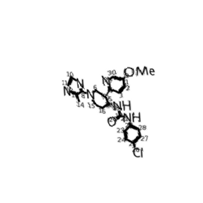 COc1ccc([C@@H]2CN(c3nccnc3C)CC[C@H]2NC(=O)Nc2ccc(Cl)cc2)nc1